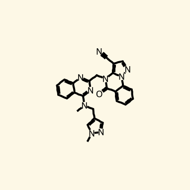 CN(Cc1cnn(C)c1)c1nc(Cn2c(=O)c3ccccc3n3ncc(C#N)c23)nc2ccccc12